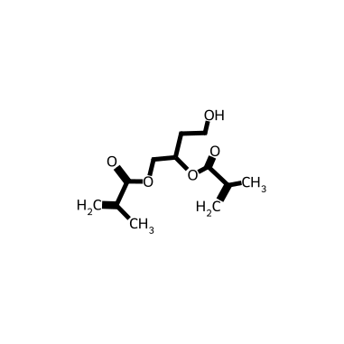 C=C(C)C(=O)OCC(CCO)OC(=O)C(=C)C